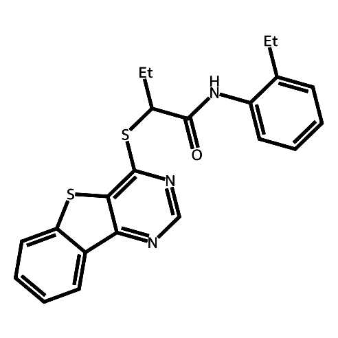 CCc1ccccc1NC(=O)C(CC)Sc1ncnc2c1sc1ccccc12